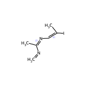 C=N/C(C)=N\C=C(/C)I